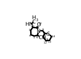 CNC1CCCC(C)N(CC2CCCCS2)C1=O